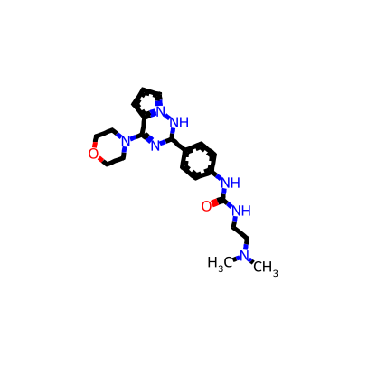 CN(C)CCNC(=O)Nc1ccc(C2N=C(N3CCOCC3)c3cccn3N2)cc1